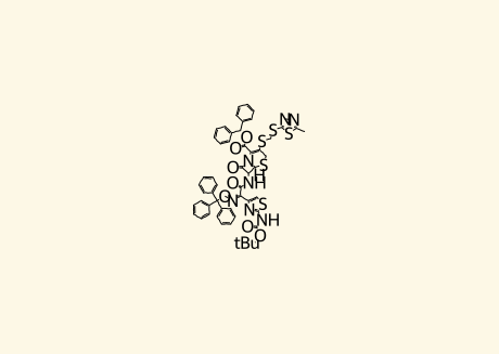 Cc1nnc(SCSC2=C(C(=O)OC(c3ccccc3)c3ccccc3)N3C(=O)C(NC(=O)/C(=N\OC(c4ccccc4)(c4ccccc4)c4ccccc4)c4csc(NC(=O)OC(C)(C)C)n4)[C@H]3SC2)s1